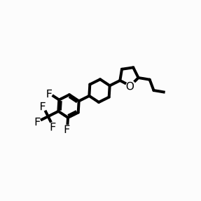 CCCC1CCC(C2CCC(c3cc(F)c(C(F)(F)F)c(F)c3)CC2)O1